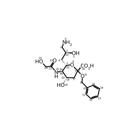 NC[C@@H](O)C[C@@H]1O[C@@](OCc2ccccc2)(C(=O)O)C[C@H](O)[C@H]1NC(=O)CO